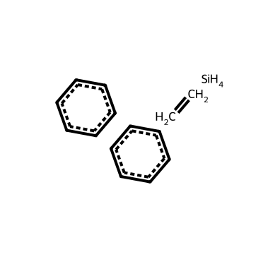 C=C.[SiH4].c1ccccc1.c1ccccc1